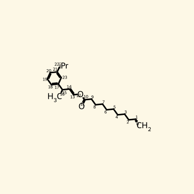 C=CCCCCCCCCC(=O)O/C=C/C(C)c1cccc(C(C)C)c1